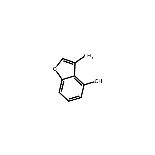 Cc1coc2cccc(O)c12